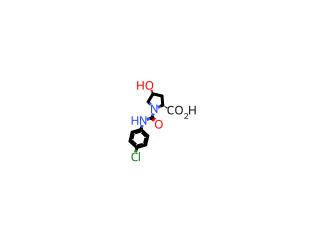 O=C(O)[C@H]1C[C@H](O)CN1C(=O)Nc1ccc(Cl)cc1